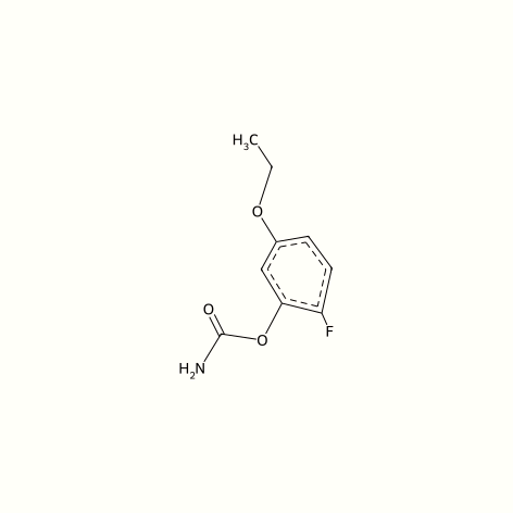 CCOc1ccc(F)c(OC(N)=O)c1